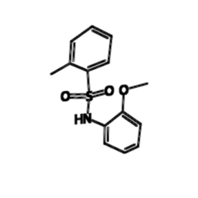 COc1ccccc1NS(=O)(=O)c1ccccc1C